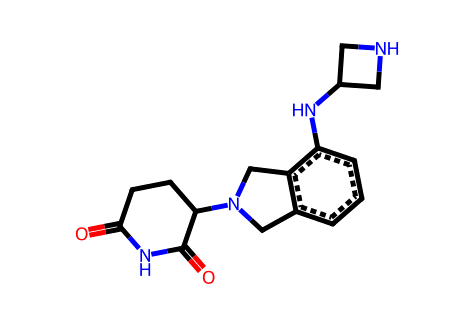 O=C1CCC(N2Cc3cccc(NC4CNC4)c3C2)C(=O)N1